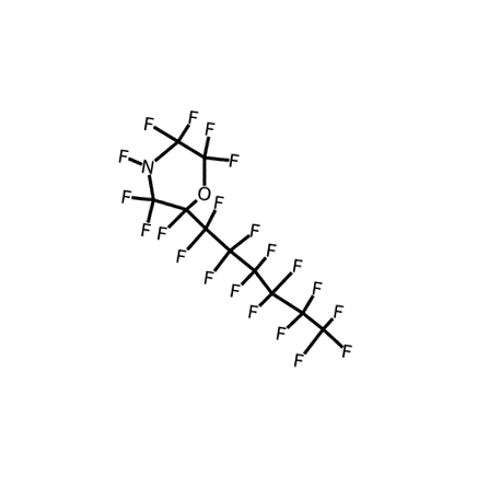 FN1C(F)(F)C(F)(F)OC(F)(C(F)(F)C(F)(F)C(F)(F)C(F)(F)C(F)(F)C(F)(F)F)C1(F)F